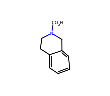 O=C(O)N1CCc2c[c]ccc2C1